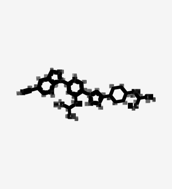 CC(C)Nc1cc(-n2ncc3cc(C#N)cnc32)ncc1-n1cc(C2CCC(NC(C)C)CC2)nn1